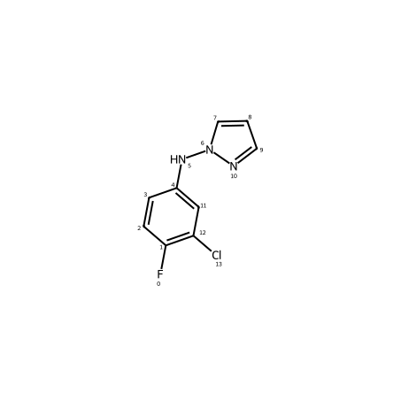 Fc1ccc(Nn2cccn2)cc1Cl